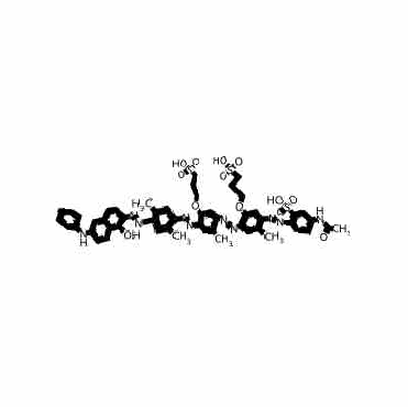 CC(=O)Nc1ccc(N=Nc2cc(OCCCS(=O)(=O)O)c(N=Nc3cc(OCCCS(=O)(=O)O)c(N=Nc4cc(C)c(N=Nc5ccc6cc(Nc7ccccc7)ccc6c5O)cc4C)cc3C)cc2C)c(S(=O)(=O)O)c1